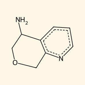 NC1COCc2ncccc21